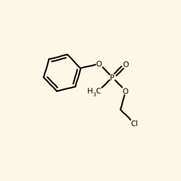 CP(=O)(OCCl)Oc1ccccc1